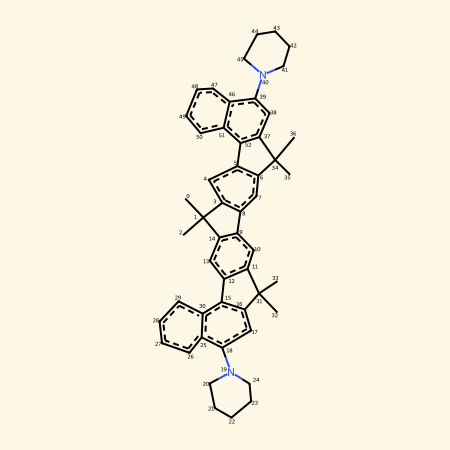 CC1(C)c2cc3c(cc2-c2cc4c(cc21)-c1c(cc(N2CCCCC2)c2ccccc12)C4(C)C)C(C)(C)c1cc(N2CCCCC2)c2ccccc2c1-3